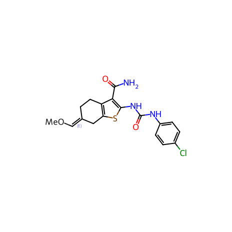 CO/C=C1\CCc2c(sc(NC(=O)Nc3ccc(Cl)cc3)c2C(N)=O)C1